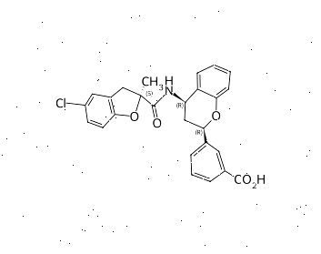 C[C@@]1(C(=O)N[C@@H]2C[C@H](c3cccc(C(=O)O)c3)Oc3ccccc32)Cc2cc(Cl)ccc2O1